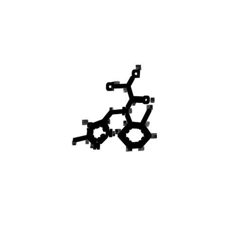 Cc1nnc(CN(C(=O)C(Cl)Cl)c2ccccc2C)s1